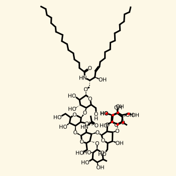 CCCCCCCCCCCCC/C=C/[C@@H](O)[C@H](CO[C@@H]1OC(CO)[C@@H](O[C@@H]2OC(CO)[C@H](O)[C@H](O[C@@H]3OC(CO)[C@@H](O[C@H]4OC(C)[C@@H](O)C(O)[C@@H]4O)[C@H](O[C@@H]4OC(CO)[C@H](O)[C@H](O[C@H]5OC(CO)[C@H](O)[C@H](O)C5O)C4O[C@H]4OC(C)[C@@H](O)C(O)[C@@H]4O)C3NC(C)=O)C2O)[C@H](O)C1O)NC(=O)CCCCCCCCCCCCCCC